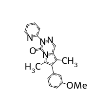 COc1cccc(-c2c(C)c3cnn(-c4ccccn4)c(=O)n3c2C)c1